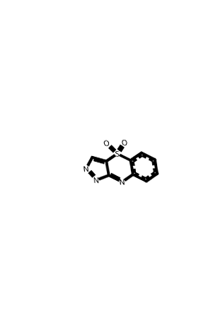 O=S1(=O)C2=CN=NC2=Nc2ccccc21